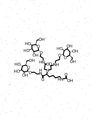 O=C(O)NCCCCC(C(=O)NCCO[C@H]1O[C@H](CO)[C@@H](O)[C@H](O)[C@@H]1O)N(CC(=O)NCCO[C@H]1O[C@H](CO)[C@@H](O)[C@H](O)[C@@H]1O)CC(=O)NCCO[C@H]1O[C@H](CO)[C@@H](O)[C@H](O)[C@@H]1O